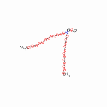 COCCOCCOCCOCCOCCOCCOCCOCCOCCOCCOCCOCCN(CCOCCOCCOCCOCCOCCOCCOCCOCCOCCOCCOCCOC)c1cccc(OCc2ccccc2)c1